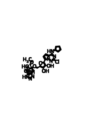 COC[C@@](Cc1nn[nH]n1)(OC[C@H]1O[C@@H](c2ccc3c(NC4CCCC4)nc(Cl)nn23)[C@H](O)[C@@H]1O)P(=O)(O)O